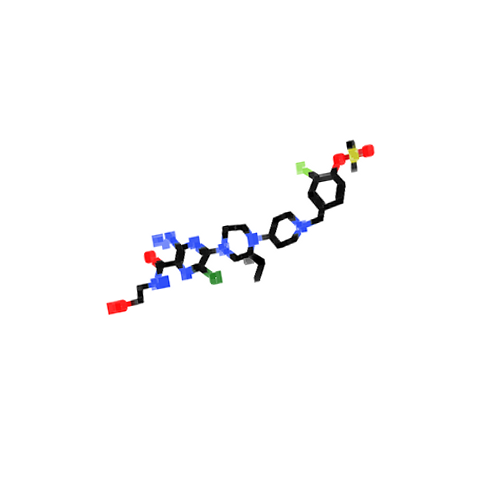 C=S(C)(=O)Oc1ccc(CN2CCC(N3CCN(c4nc(N)c(C(=O)NCCO)nc4Cl)C[C@@H]3CC)CC2)cc1F